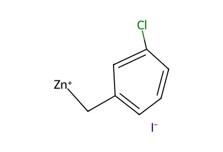 Clc1cccc([CH2][Zn+])c1.[I-]